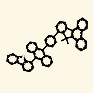 CC1(C)c2c(-c3ccc(-c4c5ccccc5c(-c5cccc6c5oc5ccccc56)c5ccccc45)cc3)cccc2-c2c1c1ccccc1c1ccccc21